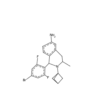 CC1Cc2cc(N)ccc2C(c2c(F)cc(Br)cc2F)N1C12CC(C1)C2